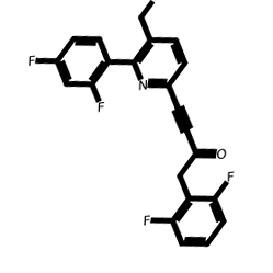 O=C(C#Cc1ccc(CO)c(-c2ccc(F)cc2F)n1)Cc1c(F)cccc1F